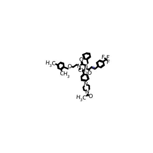 CC(=O)N1CCN(c2ccc(CN(C(=O)/C=C/c3ccc(C(F)(F)F)cc3)[C@@H](Cc3ccccc3)C(=O)N(C)CCOCc3ccc(C)cc3C)cc2)CC1